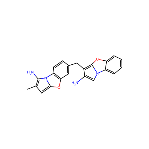 Cc1cc2oc3cc(Cc4c(N)cn5c4oc4ccccc45)ccc3n2c1N